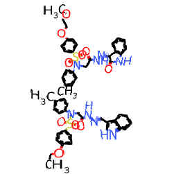 CCOc1ccc(S(=O)(=O)N(CC(=O)N/N=C/c2c[nH]c3ccccc23)c2ccc(C)cc2)cc1.COCCOc1ccc(S(=O)(=O)N(CC(=O)N/N=C2\C(=O)Nc3ccccc32)c2ccc(C)cc2)cc1